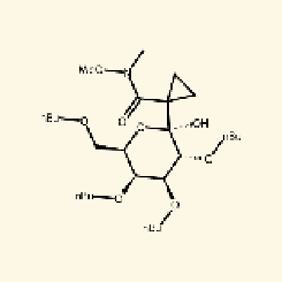 CCCCOC[C@H]1O[C@@](O)(C2(C(=O)N(C)OC)CC2)[C@H](OCCCC)[C@@H](OCCCC)[C@H]1OCCCC